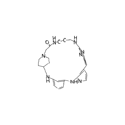 O=C1CN2CCC(CC2)Nc2cccc(c2)Nc2cc(ccn2)-c2cnc(nc2)NCCCN1